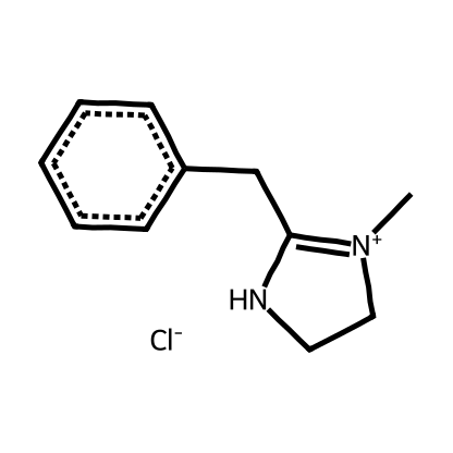 C[N+]1=C(Cc2ccccc2)NCC1.[Cl-]